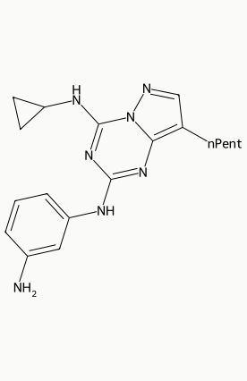 CCCCCc1cnn2c(NC3CC3)nc(Nc3cccc(N)c3)nc12